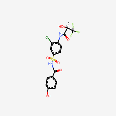 C[C@@](O)(C(=O)Nc1ccc(S(=O)(=O)NC(=O)c2ccc(O)cc2)cc1Cl)C(F)(F)F